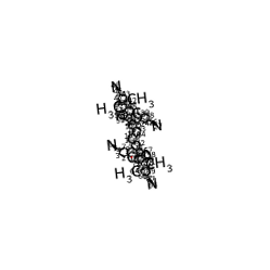 Cc1ccc(C#N)cc1-c1c2c(cc3c1ccc1c4cc5c(c(-c6cc(C#N)ccc6C)c4ccc31)-c1ccc(-c3c(C)cc(C#N)cc3C)c3cccc-5c13)-c1cccc3c(-c4c(C)cc(C#N)cc4C)ccc-2c13